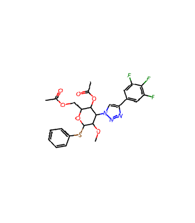 COC1C(Sc2ccccc2)OC(COC(C)=O)C(OC(C)=O)C1n1cc(-c2cc(F)c(F)c(F)c2)nn1